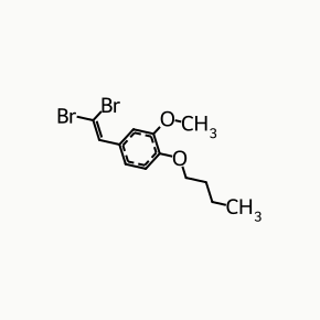 CCCCOc1ccc(C=C(Br)Br)cc1OC